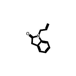 C=CCN1C(=O)Cc2ccccc21